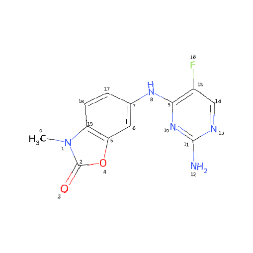 Cn1c(=O)oc2cc(Nc3nc(N)ncc3F)ccc21